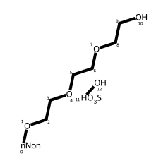 CCCCCCCCCOCCOCCOCCO.O=S(=O)(O)O